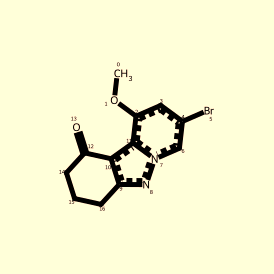 COc1cc(Br)cn2nc3c(c12)C(=O)CCC3